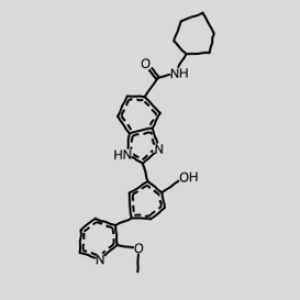 COc1ncccc1-c1ccc(O)c(-c2nc3cc(C(=O)NC4CCCCC4)ccc3[nH]2)c1